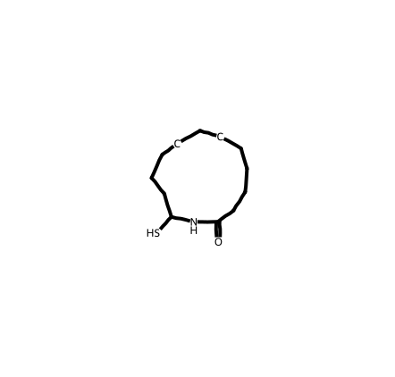 O=C1CCCCCCCCCCC(S)N1